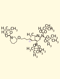 Cc1nc(N(C(=O)OC(C)(C)C)C(=O)OC(C)(C)C)cc(B2OC(C)(C)C(C)(C)O2)c1/C=C/CCCOC1CCCCN(C(=O)OC(C)(C)C)C1